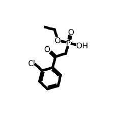 CCOP(=O)(O)CC(=O)c1ccccc1Cl